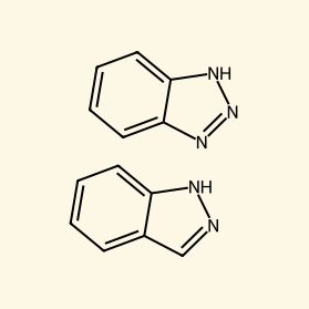 c1ccc2[nH]ncc2c1.c1ccc2[nH]nnc2c1